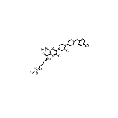 CC[C@H]1CN(c2nc(N)c(C(=O)NCCCNS(=O)(=O)C(F)(F)F)nc2Cl)CCN1C1CCN(Cc2ccc(C#N)cc2)CC1